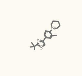 Cc1cc(-c2csc(C(C)(C)C)n2)ccc1N1CCCCC1